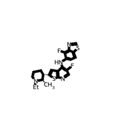 CCN1CCC[C@H](c2cc3c(Nc4ccc5scnc5c4F)c(F)cnc3s2)[C@@H]1C